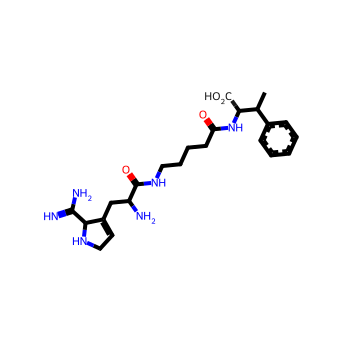 CC(c1ccccc1)C(NC(=O)CCCCNC(=O)C(N)CC1=CCNC1C(=N)N)C(=O)O